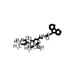 CC(C)CC(NC(=O)C(CCCCNC(=O)OCC1c2ccccc2-c2ccccc21)N(C(=O)O)C(C)(C)C)C(N)=O